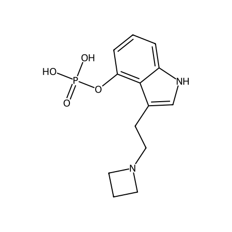 O=P(O)(O)Oc1cccc2[nH]cc(CCN3CCC3)c12